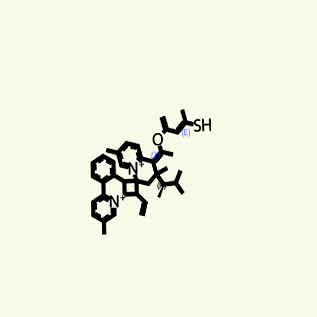 C=CC1C2C(c3ccccc3-c3ccc(C)c[n+]32)C12CC(C)([C@H](C)C(C)C)/C(=C(\C)OC(=C)/C=C(\C)S)c1ccc(C)c[n+]12